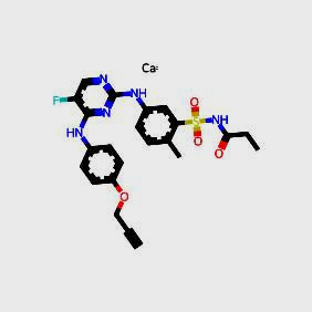 C#CCOc1ccc(Nc2nc(Nc3ccc(C)c(S(=O)(=O)NC(=O)CC)c3)ncc2F)cc1.[Ca]